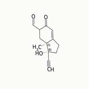 C#C[C@]1(O)CCC2=CC(=O)C(C=O)C[C@@]21C